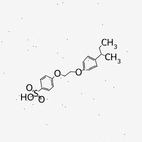 CCC(C)c1ccc(OCCOc2ccc(S(=O)(=O)O)cc2)cc1